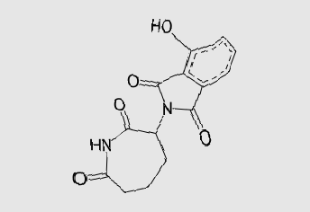 O=C1CCCC(N2C(=O)c3cccc(O)c3C2=O)C(=O)N1